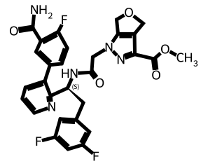 COC(=O)c1nn(CC(=O)N[C@@H](Cc2cc(F)cc(F)c2)c2ncccc2-c2ccc(F)c(C(N)=O)c2)c2c1COC2